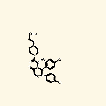 CCC[C@@H](C(=O)N1CCN(CCC(=O)O)CC1)N1C(=O)CO[C@H](c2ccc(Cl)cc2)[C@@H]1c1ccc(Cl)cc1